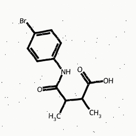 CC(C(=O)O)C(C)C(=O)Nc1ccc(Br)cc1